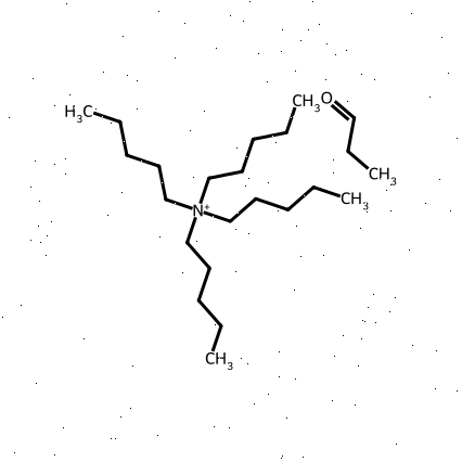 CCC=O.CCCCC[N+](CCCCC)(CCCCC)CCCCC